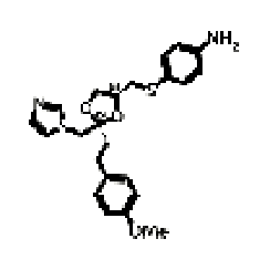 COc1ccc(CC[C@]2(Cn3ccnc3)OC[C@@H](CSc3ccc(N)cc3)O2)cc1